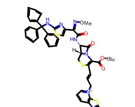 CO/N=C(\C(=O)N[C@@H]1C(=O)N2C(C(=O)OC(C)(C)C)=C(/C=C/C[n+]3cccc4nc(C)sc43)SC[C@H]12)c1csc(NC(c2ccccc2)(c2ccccc2)c2ccccc2)n1